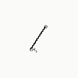 CCCCCC=CCC=CCCCCC=CCCCC[O]